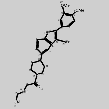 COc1ccc(-c2[nH]c3ccc(C4CCN(C(=O)CNCC#N)CC4)cc3c2C(C)C)cc1OC